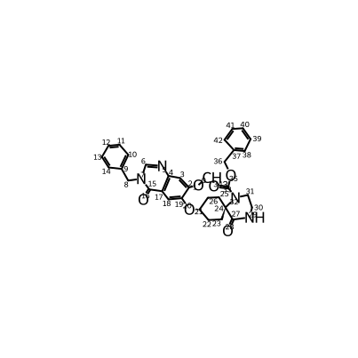 COc1cc2ncn(Cc3ccccc3)c(=O)c2cc1O[C@H]1CC[C@]2(CC1)C(=O)NCCN2C(=O)OCc1ccccc1